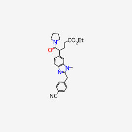 CCOC(=O)CCC(C(=O)N1CCCC1)c1ccc2nc(Cc3ccc(C#N)cc3)n(C)c2c1